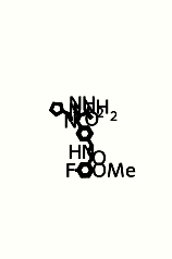 COc1ccc(F)cc1C(=O)NCc1ccc(-c2nc(C3CCCC3)n(N)c2C(N)=O)cc1